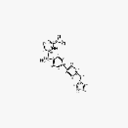 O=C(N[C@H](CF)[C@H](O)c1ccc(-c2ccc(Cn3ccnc3)nc2)cc1)C(Cl)Cl